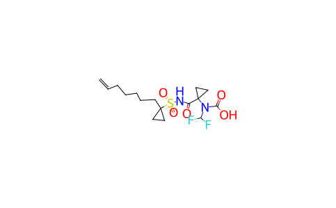 C=CCCCCCC1(S(=O)(=O)NC(=O)C2(N(C(=O)O)C(F)F)CC2)CC1